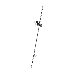 CCCCCCCCCCCCCCCC[C@@H](O)CNC(=O)CCCCCCCCCCCCCCCCCCCCCCCCCCCCCC(=O)CCCCCCCCCCCCC